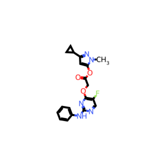 Cn1nc(C2CC2)cc1OC(=O)COc1nc(Nc2ccccc2)ncc1F